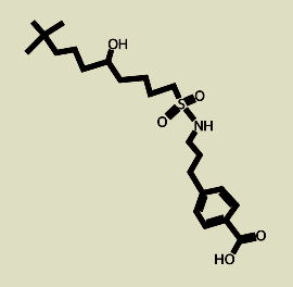 CC(C)(C)CCCC(O)CCCCS(=O)(=O)NCCCc1ccc(C(=O)O)cc1